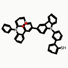 Sc1ccccc1-c1cccc(-n2c3ccccc3c3cc(-c4cccc(-c5ccccc5N(c5ccccc5)c5cccnc5)c4)ccc32)c1